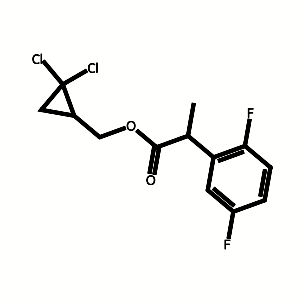 CC(C(=O)OCC1CC1(Cl)Cl)c1cc(F)ccc1F